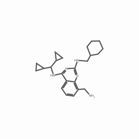 NCc1cccc2c(NC(C3CC3)C3CC3)nc(NCC3CCCCC3)nc12